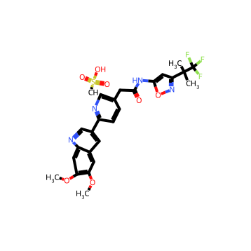 COc1cc2cc(-c3ccc(CC(=O)Nc4cc(C(C)(C)C(F)(F)F)no4)cn3)cnc2cc1OC.CS(=O)(=O)O